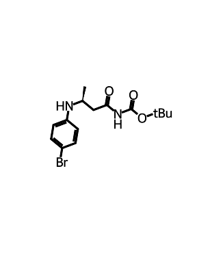 C[C@@H](CC(=O)NC(=O)OC(C)(C)C)Nc1ccc(Br)cc1